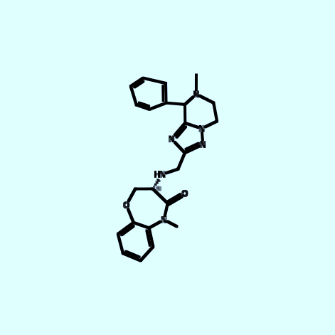 CN1C(=O)[C@@H](NCc2nc3n(n2)CCN(C)C3c2ccccc2)COc2ccccc21